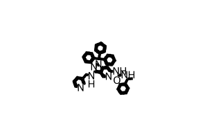 CC(NC(=O)Nc1cc2c(cn1)c(NCc1cccnc1)nn2C(c1ccccc1)(c1ccccc1)c1ccccc1)c1ccccc1